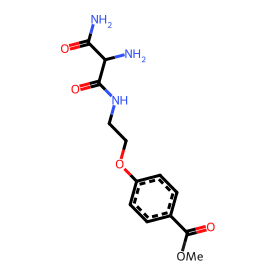 COC(=O)c1ccc(OCCNC(=O)C(N)C(N)=O)cc1